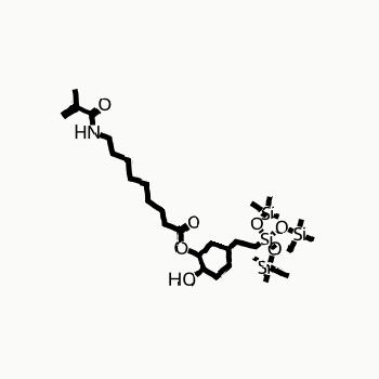 C=C(C)C(=O)NCCCCCCCCC(=O)OC1CC(CC[Si](O[Si](C)(C)C)(O[Si](C)(C)C)O[Si](C)(C)C)CCC1O